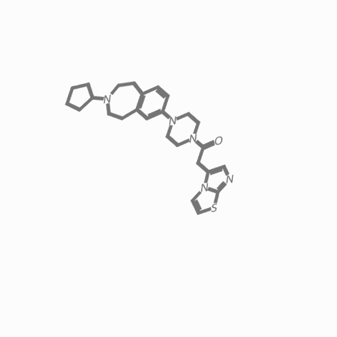 O=C(Cc1cnc2sccn12)N1CCN(c2ccc3c(c2)CCN(C2CCCC2)CC3)CC1